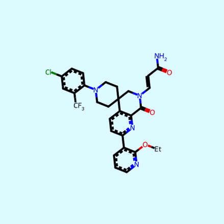 CCOc1ncccc1-c1ccc2c(n1)C(=O)N(C=CC(N)=O)CC21CCN(c2ccc(Cl)cc2C(F)(F)F)CC1